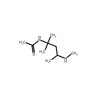 CNC(C)CC(C)(C)NC(C)=O